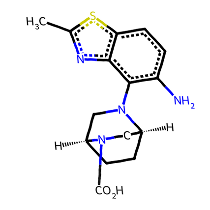 Cc1nc2c(N3C[C@@H]4CC[C@H]3CN4C(=O)O)c(N)ccc2s1